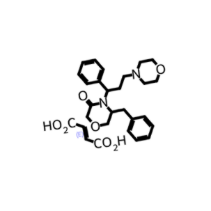 O=C(O)/C=C/C(=O)O.O=C1COCC(Cc2ccccc2)N1C(CCN1CCOCC1)c1ccccc1